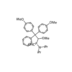 COc1ccc(C(c2ccccc2)(c2ccc(OC)cc2)C(OC)P(C=O)N(C(C)C)C(C)C)cc1